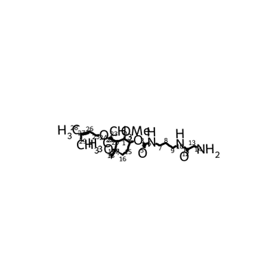 COC1C(OC(=O)NCCCNC(=O)CN)CC[C@]2(CO2)C1C(C)(C)OCC=C(C)C